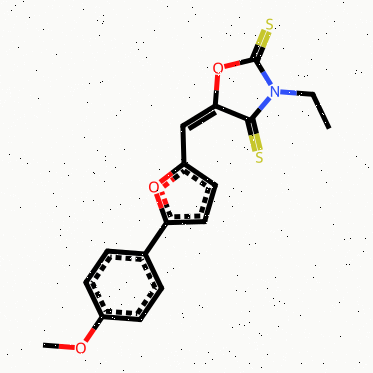 CCN1C(=S)OC(=Cc2ccc(-c3ccc(OC)cc3)o2)C1=S